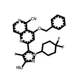 CC(C)(C)c1nn(C2CCC(F)(F)CC2)c(-c2cc(OCc3ccccc3)c3c(C#N)nccc3n2)c1I